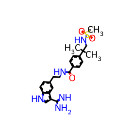 CC(C)(CNS(C)(=O)=O)c1ccc(C(=O)NCCc2ccc3[nH]cc(C(=N)N)c3c2)cc1